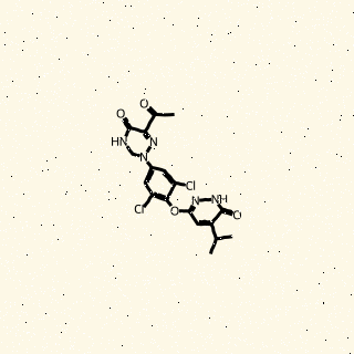 CC(=O)C1=NN(c2cc(Cl)c(Oc3cc(C(C)C)c(=O)[nH]n3)c(Cl)c2)CNC1=O